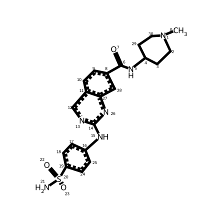 CN1CCC(NC(=O)c2ccc3cnc(Nc4ccc(S(N)(=O)=O)cc4)nc3c2)CC1